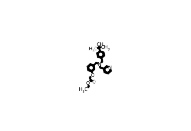 CCOC(=O)COc1cccc(CN(Cc2ccc(C(C)(C)C)cc2)Cc2cccnc2)c1